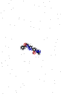 COc1cc(-c2ccc(N3CCOC(c4ccccc4)C3)nn2)ccc1-n1cnc(C)c1